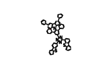 c1ccc(-c2ccc3c(c2)c2cc(-c4ccccc4)ccc2n3-c2c(-c3ccccc3)cc(-c3nc(-c4ccc5c(c4)sc4ccccc45)nc(-c4cccc5c4sc4ccccc45)n3)cc2-c2ccccc2)cc1